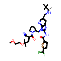 COCCOC(C)(C)C=C(C#N)C(=O)N1CCCC1Cn1c(NC(=O)c2ccc(C(F)F)s2)nc2cc(CN[C@@H](C)C(C)(C)C)cnc21